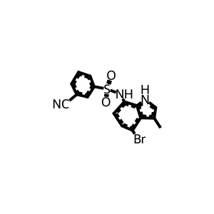 Cc1c[nH]c2c(NS(=O)(=O)c3cccc(C#N)c3)ccc(Br)c12